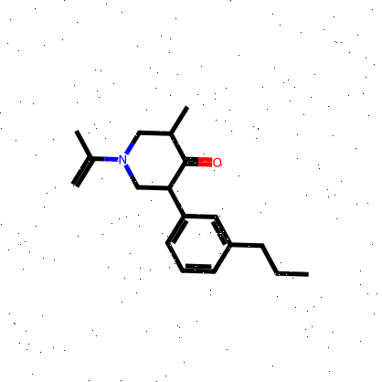 C=C(C)N1CC(C)C(=O)C(c2cccc(CCC)c2)C1